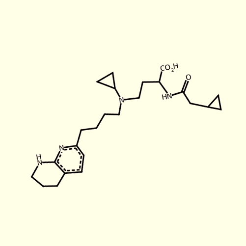 O=C(CC1CC1)NC(CCN(CCCCc1ccc2c(n1)NCCC2)C1CC1)C(=O)O